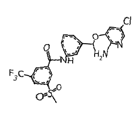 CC(Oc1cc(Cl)cnc1N)c1cccc(NC(=O)c2cc(C(F)(F)F)cc(S(C)(=O)=O)c2)c1